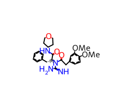 COc1ccc(CC(=O)N(C(=N)N)[C@H](Cc2ccccc2)C(=O)NC2CCOCC2)cc1OC